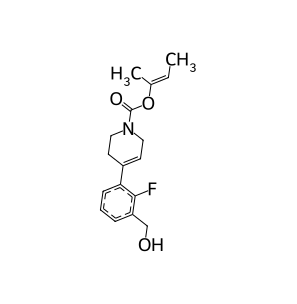 C/C=C(\C)OC(=O)N1CC=C(c2cccc(CO)c2F)CC1